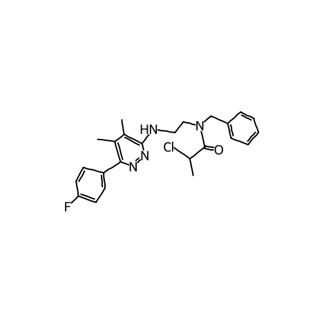 Cc1c(NCCN(Cc2ccccc2)C(=O)C(C)Cl)nnc(-c2ccc(F)cc2)c1C